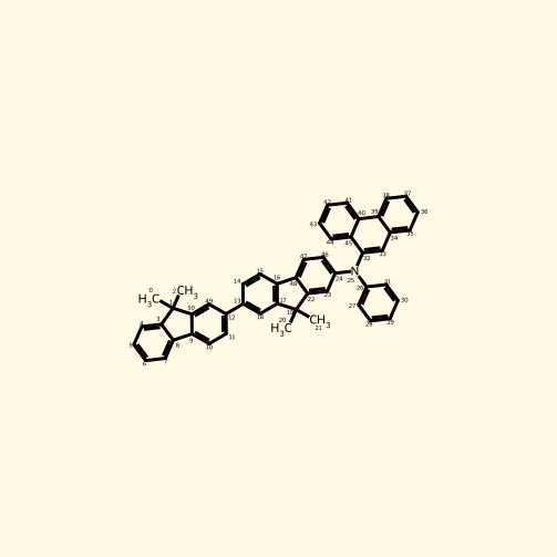 CC1(C)c2ccccc2-c2ccc(-c3ccc4c(c3)C(C)(C)c3cc(N(c5ccccc5)c5cc6ccccc6c6ccccc56)ccc3-4)cc21